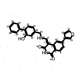 O=C1NC(=O)c2ccc(-c3ccoc3)cc2/C1=C/NCc1ccc(-c2ccccc2)c(O)c1